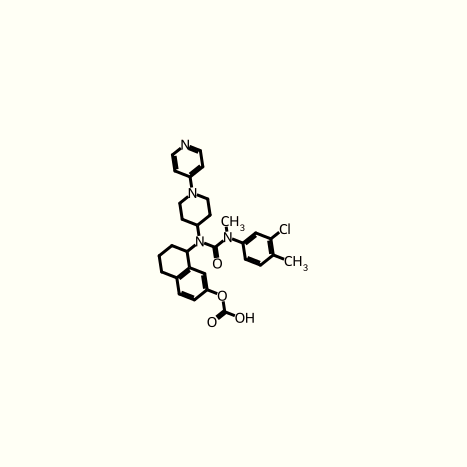 Cc1ccc(N(C)C(=O)N(C2CCN(c3ccncc3)CC2)C2CCCc3ccc(OC(=O)O)cc32)cc1Cl